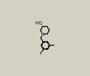 Cc1cc(F)cc(CN2CCC[C@@H](O)C2)c1